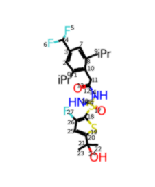 CC(C)c1cc(C(F)F)cc(C(C)C)c1CC(=O)N[S@@](=N)(=O)c1sc(C(C)(C)O)cc1F